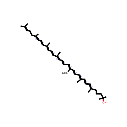 CC(C)=CCC/C(C)=C/C=C/C(C)=C/C=C/C(C)=C/C=C/C=C(C=O)/C=C/C=C(C)/C=C/C=C(\C)CCCC(C)(C)O